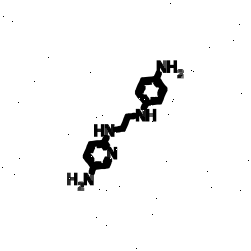 Nc1ccc(NCCNc2ccc(N)cn2)cc1